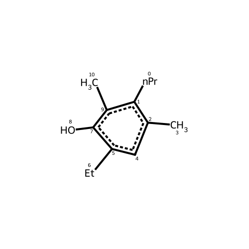 CCCc1c(C)cc(CC)c(O)c1C